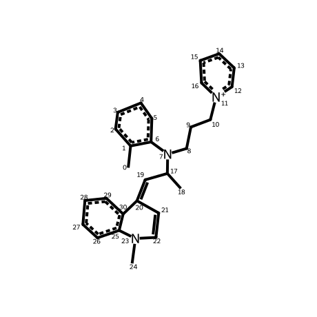 Cc1ccccc1N(CCC[n+]1ccccc1)C(C)/C=C1\C=CN(C)c2ccccc21